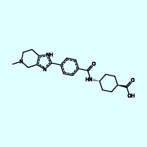 CN1CCc2[nH]c(-c3ccc(C(=O)N[C@H]4CC[C@H](C(=O)O)CC4)cc3)nc2C1